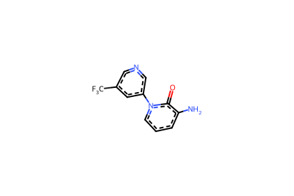 Nc1cccn(-c2cncc(C(F)(F)F)c2)c1=O